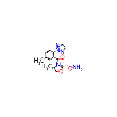 Cc1ccc(-n2nccn2)c(C(=O)N2[C@H](CON)OC[C@@H]2C)c1